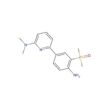 CN(C)c1cccc(-c2ccc(N)c(P(C)(C)=O)c2)n1